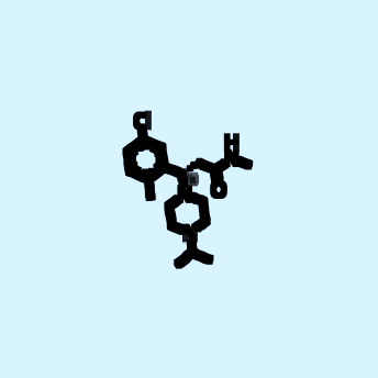 CNC(=O)C[C@@H](c1cc(Cl)ccc1C)N1CCN(C(C)C)CC1